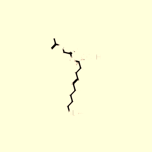 C=C(C)OCC(=O)O[C@@H](CCC=CCCCCCCCCCCCCCC)C(=O)O